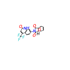 O=C1C2C3C=CC(O3)[C@H]2C(=O)N1c1ccc2c(C(F)(F)F)cc(=O)[nH]c2c1